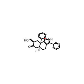 C[C@@H]1C(=O)/C(=C\O)C[C@]2(c3ccccc3)c3n[nH]c(-c4cccnc4)c3CC[C@@H]12